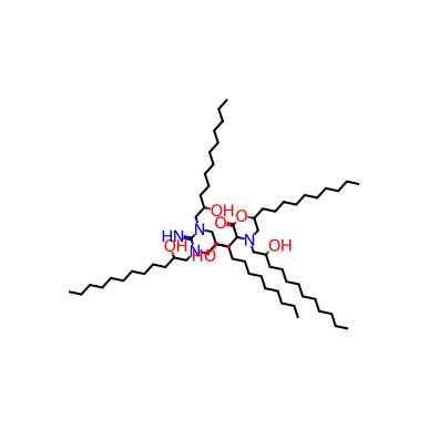 CCCCCCCCCCC(O)CN(CCCC1C(=O)OC(CCCCCCCCCC)CN1CC(O)CCCCCCCCCC)C(=N)N(CC(O)CCCCCCCCCC)CC(O)CCCCCCCCCC